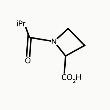 CC(C)C(=O)N1CCC1C(=O)O